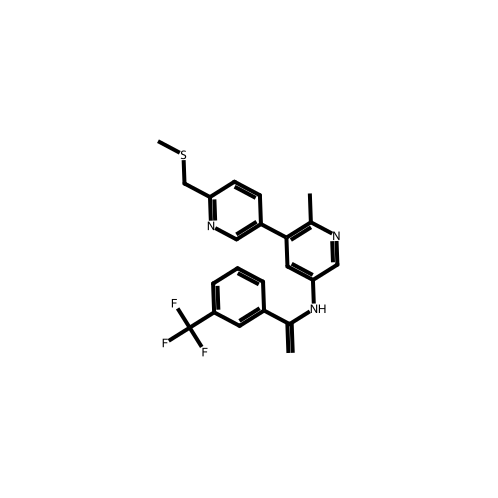 C=C(Nc1cnc(C)c(-c2ccc(CSC)nc2)c1)c1cccc(C(F)(F)F)c1